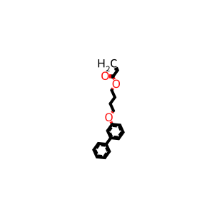 C=CC(=O)OCCCCOc1cccc(-c2ccccc2)c1